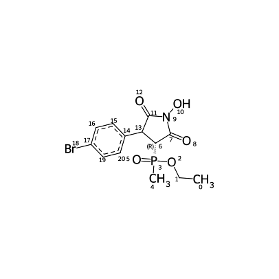 CCOP(C)(=O)[C@H]1C(=O)N(O)C(=O)C1c1ccc(Br)cc1